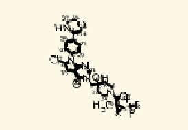 C[C@@]1(C(=O)N2CCC(O)(Cn3cnc4c(cc(Cl)n4-c4ccc([C@@H]5COCCN5)cc4)c3=O)CC2)C[C@H]1C(F)(F)F